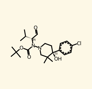 CC(C)[C@H](C=O)N(C(=O)OC(C)(C)C)N1CC[C@](O)(c2ccc(Cl)cc2)C(C)(C)C1